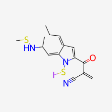 C=C(C#N)C(=O)c1cc(=C/CC)/c(=C\C(C)NSC)n1SI